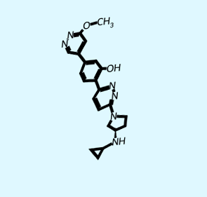 COc1cc(-c2ccc(-c3ccc(N4CC[C@@H](NC5CC5)C4)nn3)c(O)c2)cnn1